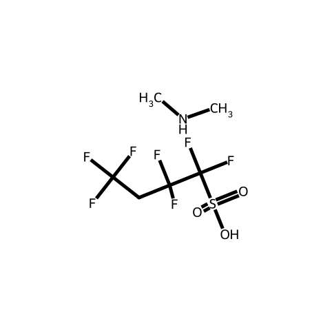 CNC.O=S(=O)(O)C(F)(F)C(F)(F)CC(F)(F)F